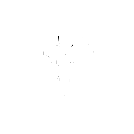 C[C@H]1[C@H]2C[C@H](C[C@H](N3[C@H]4CC[C@@H](C)[C@@H]3C[C@H](n3c(=O)c(CCP(=O)(O)O)nc5ccccc53)C4)C2)C[C@H]1C